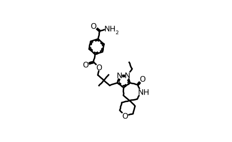 CCn1nc(CC(C)(C)COC(=O)c2ccc(C(N)=O)cc2)c2c1C(=O)NCC1(CCOCC1)C2